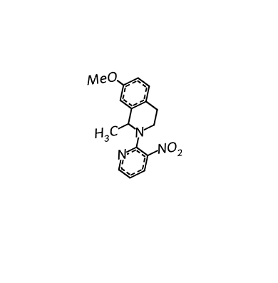 COc1ccc2c(c1)C(C)N(c1ncccc1[N+](=O)[O-])CC2